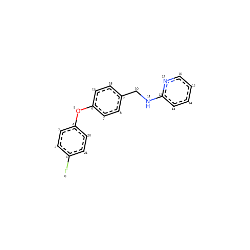 Fc1ccc(Oc2ccc(CNc3ccccn3)cc2)cc1